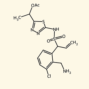 C=CC(c1cccc(Cl)c1CN)S(=O)(=O)Nc1nnc(C(C)OC(C)=O)s1